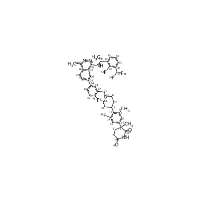 Cc1cc([C@@]2(C)CCC(=O)NC2=O)cc(F)c1C1CCN(Cc2cc(-c3cc4c(N[C@H](C)c5cccc(C(F)F)c5F)nnc(C)c4cn3)ccc2F)CC1